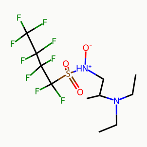 CCN(CC)C(C)C[NH+]([O-])S(=O)(=O)C(F)(F)C(F)(F)C(F)(F)C(F)(F)F